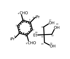 CC(C)c1cc(C=O)c(C(C)C)cc1C=O.CCC(CO)(CO)CO